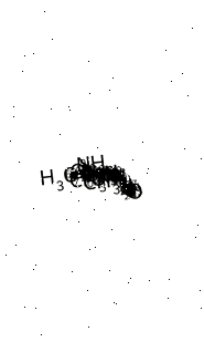 Cc1cc(OC(C)C)c(N)cc1-c1cc(CN2CCN(CCN3CCOCC3)CC2)no1